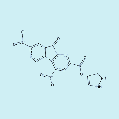 C1=CNNC1.O=C1c2cc([N+](=O)[O-])ccc2-c2c1cc([N+](=O)[O-])cc2[N+](=O)[O-]